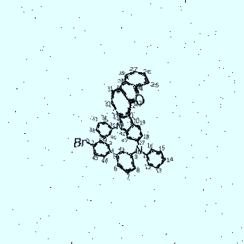 Brc1ccc(-c2cccc(N(c3ccccc3)c3ccc4c5c6oc7ccccc7c6ccc5n(-c5ccccc5)c4c3)c2)cc1